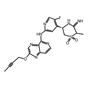 CC#CCOc1cnc2c(Nc3cc([C@@H]4CS(=O)(=O)C(C)C(=N)N4)c(F)cn3)nccc2n1